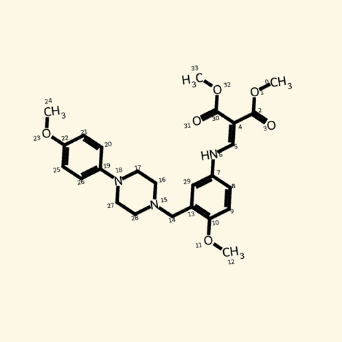 COC(=O)C(=CNc1ccc(OC)c(CN2CCN(c3ccc(OC)cc3)CC2)c1)C(=O)OC